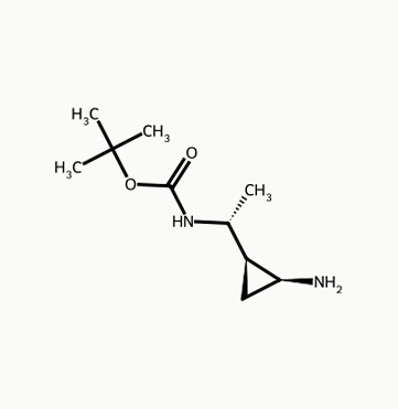 C[C@@H](NC(=O)OC(C)(C)C)[C@@H]1C[C@@H]1N